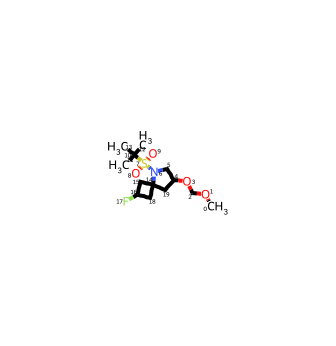 COCOC1CN(S(=O)(=O)C(C)(C)C)C2(CC(F)C2)C1